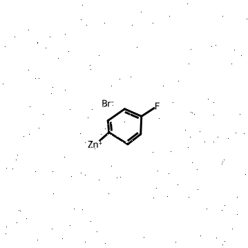 Fc1cc[c]([Zn+])cc1.[Br-]